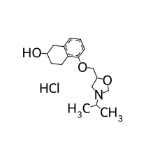 CC(C)N1COC(COc2cccc3c2CCC(O)C3)C1.Cl